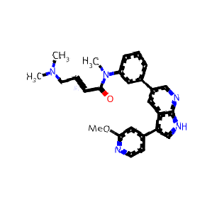 COc1cc(-c2c[nH]c3ncc(-c4cccc(N(C)C(=O)/C=C/CN(C)C)c4)cc23)ccn1